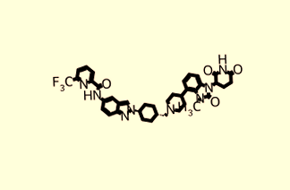 Cn1c(=O)n(C2CCC(=O)NC2=O)c2cccc(C3CCN(C[C@H]4CC[C@H](n5cc6cc(NC(=O)c7cccc(C(F)(F)F)n7)ccc6n5)CC4)CC3)c21